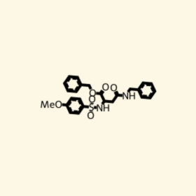 COc1ccc(S(=O)(=O)NC(CC(=O)NCc2ccccc2)C(=O)OCc2ccccc2)cc1